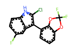 Fc1ccc2[nH]c(Cl)c(-c3cccc4c3OC(F)(F)O4)c2c1